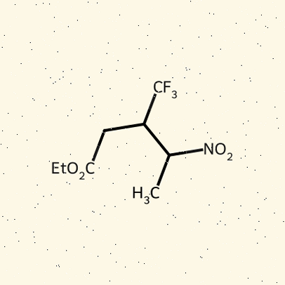 CCOC(=O)CC(C(C)[N+](=O)[O-])C(F)(F)F